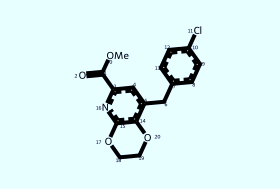 COC(=O)c1cc(Cc2ccc(Cl)cc2)c2c(n1)OCCO2